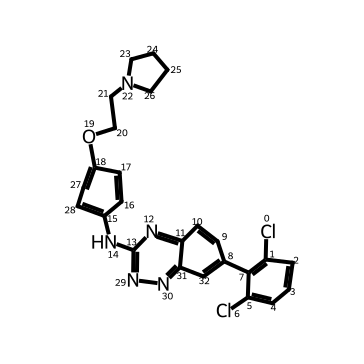 Clc1cccc(Cl)c1-c1ccc2nc(Nc3ccc(OCCN4CCCC4)cc3)nnc2c1